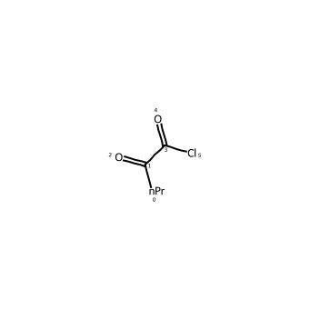 CCCC(=O)C(=O)Cl